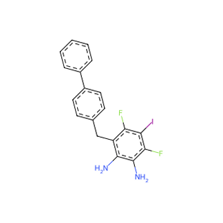 Nc1c(N)c(Cc2ccc(-c3ccccc3)cc2)c(F)c(I)c1F